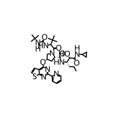 CCC[C@H](NC(=O)[C@@H]1C[C@@H](Oc2nc(-c3ccccn3)nc3sccc23)CN1C(=O)C(NC(=O)NC(C)(C)C)C(C)(C)C)C(O)C(=O)NC1CC1